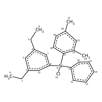 CCc1cc(CC)cc([Si](Cl)(c2ccccc2)c2ccc(C)cc2C)c1